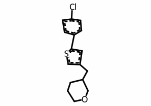 Clc1ccc(-c2cc(CC3CCCOC3)cs2)cc1